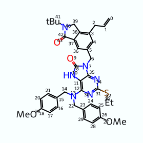 C=CCc1cc(Cn2c(=O)[nH]c3c(N(Cc4ccc(OC)cc4)Cc4ccc(OC)cc4)nc(SCC)nc32)cc2c1CN(C(C)(C)C)C2=O